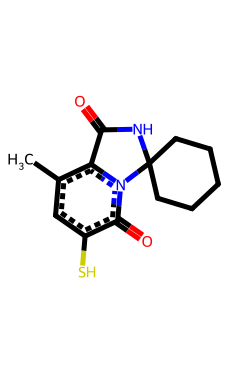 Cc1cc(S)c(=O)n2c1C(=O)NC21CCCCC1